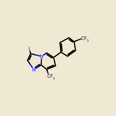 FC(F)(F)c1ccc(-c2cc(C(F)(F)F)c3ncc(I)n3c2)cc1